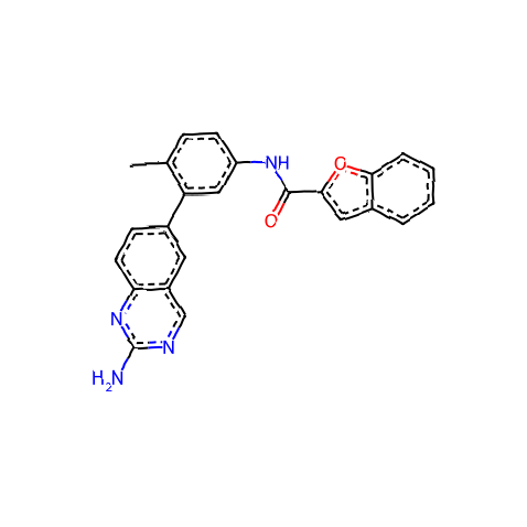 Cc1ccc(NC(=O)c2cc3ccccc3o2)cc1-c1ccc2nc(N)ncc2c1